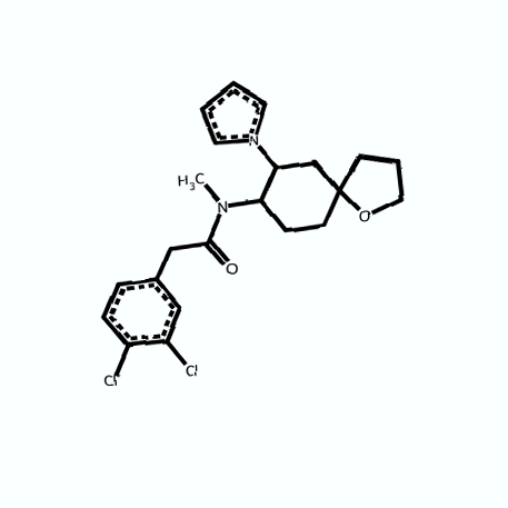 CN(C(=O)Cc1ccc(Cl)c(Cl)c1)C1CCC2(CCCO2)CC1n1cccc1